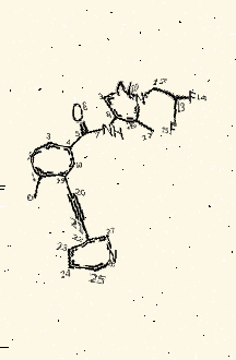 Cc1ccc(C(=O)Nc2cnn(CC(F)F)c2C)cc1C#Cc1cccnc1